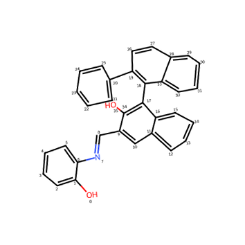 Oc1ccccc1/N=C/c1cc2ccccc2c(-c2c(-c3ccccc3)ccc3ccccc23)c1O